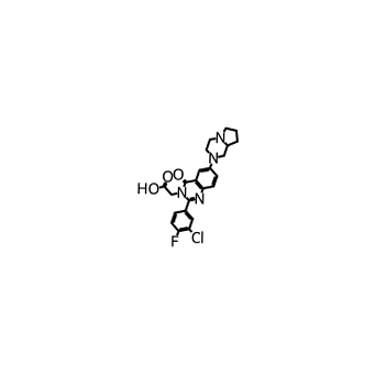 O=C(O)Cn1c(-c2ccc(F)c(Cl)c2)nc2ccc(N3CCN4CCCC4C3)cc2c1=O